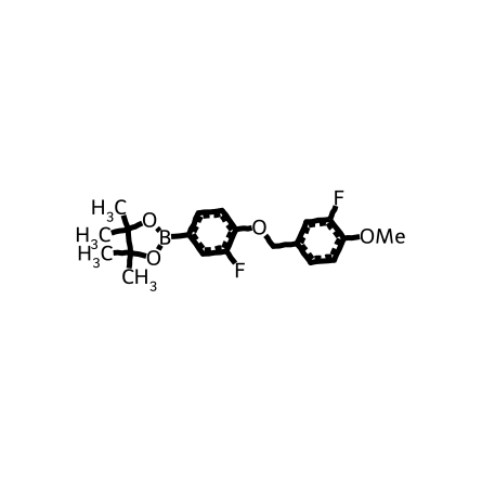 COc1ccc(COc2ccc(B3OC(C)(C)C(C)(C)O3)cc2F)cc1F